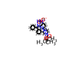 CC(C)(C)OC(=O)N1CCN(c2ccc([N+](=O)[O-])c(NC(c3ccccc3)c3ccccc3)n2)CC1